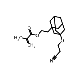 C=C(C)C(=O)OCCC12CC3CC(C1)CC(OCCC#N)(C3)C2